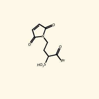 CC(C)C(=O)C(CCN1C(=O)C=CC1=O)S(=O)(=O)O